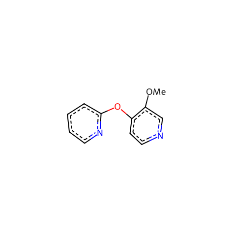 COc1cnccc1Oc1ccccn1